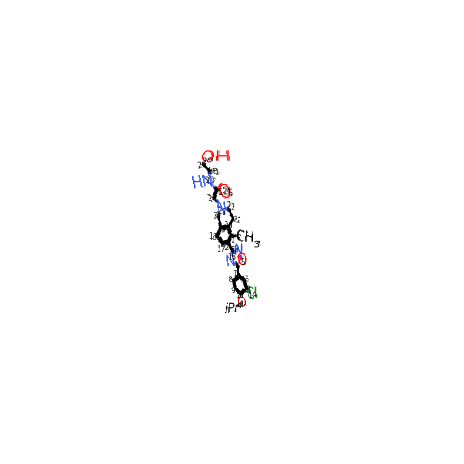 Cc1c(-c2noc(-c3ccc(OC(C)C)c(Cl)c3)n2)ccc2c1CCN(CC(=O)NCCO)C2